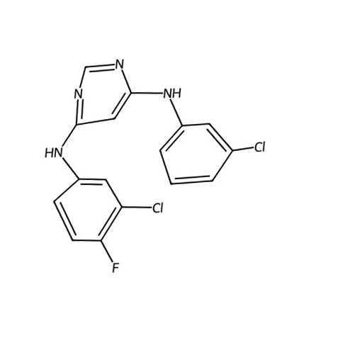 Fc1ccc(Nc2cc(Nc3cccc(Cl)c3)ncn2)cc1Cl